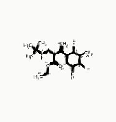 C=C(C(CNC(C)(C)C)C(=O)OCC)C1CC(F)C(F)C(C)C1F